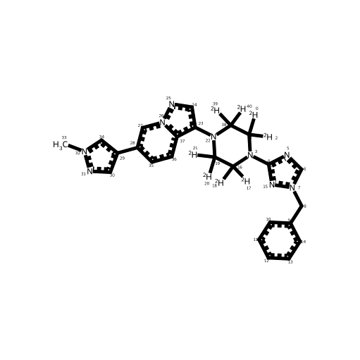 [2H]C1([2H])N(c2ncn(Cc3ccccc3)n2)C([2H])([2H])C([2H])([2H])N(c2cnn3cc(-c4cnn(C)c4)ccc23)C1([2H])[2H]